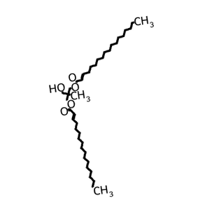 CCCCCCCCCCCCCCCC=CC(=O)OCC(C)(CO)COC(=O)C=CCCCCCCCCCCCCCCC